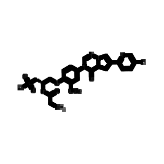 CCS(=O)(=O)C[C@H](COc1ccc(N2C=NN3C=C(c4ccc(Cl)cn4)CC3C2=O)cc1OC)OC(=O)CN